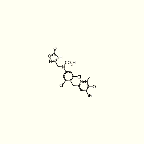 CC(C)c1cc(Cc2c(Cl)cc(N(Cc3noc(=O)[nH]3)C(=O)O)cc2Cl)nn(C)c1=O